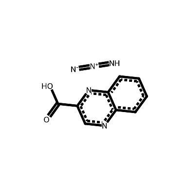 O=C(O)c1cnc2ccccc2n1.[N-]=[N+]=N